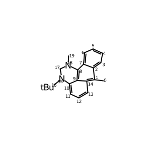 Cc1c2ccccc2c2c3c(cccc13)N(C(C)(C)C)CN2C